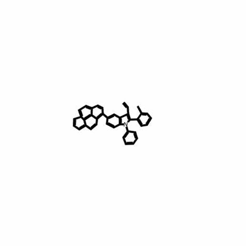 C=Cc1c(-c2ccccc2C)n(-c2ccccc2)c2ccc(-c3ccc4ccc5cccc6ccc3c4c56)cc12